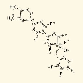 Cc1ccc(-c2cc(F)c(-c3cc(F)c(C(F)(F)Oc4cc(F)c(F)c(F)c4)c(F)c3)c(F)c2)cc1C